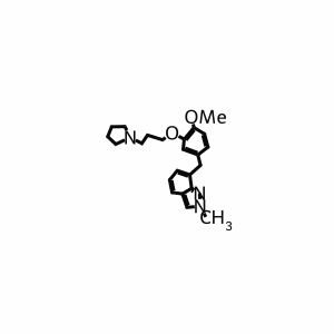 COc1ccc(Cc2cccc3cn(C)nc23)cc1OCCCN1CCCC1